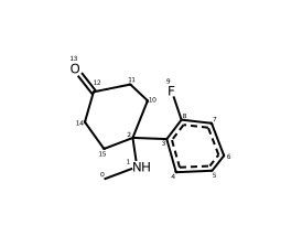 CNC1(c2ccccc2F)CCC(=O)CC1